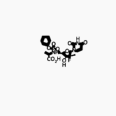 C[C@@H](N[P@](=O)(OC[C@H]1O[C@@H](n2ccc(=O)[nH]c2=O)[C@](C)(F)[C@@H]1O)Oc1ccccc1)C(=O)O